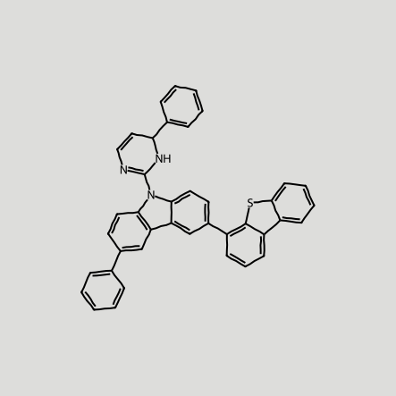 C1=CC(c2ccccc2)NC(n2c3ccc(-c4ccccc4)cc3c3cc(-c4cccc5c4sc4ccccc45)ccc32)=N1